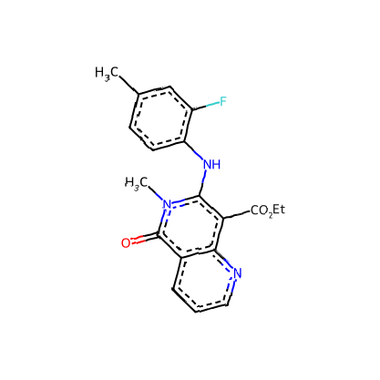 CCOC(=O)c1c(Nc2ccc(C)cc2F)n(C)c(=O)c2cccnc12